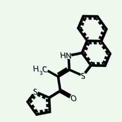 CC(C(=O)c1cccs1)=C1Nc2c(ccc3ccccc23)S1